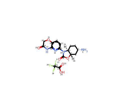 N[C@H]1CC[C@H]2[C@H](C1)OC(=O)N2c1ccc2c(n1)NC(=O)CO2.O=C(O)C(F)(F)F